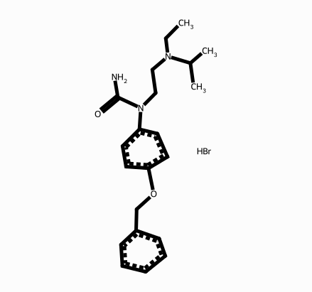 Br.CCN(CCN(C(N)=O)c1ccc(OCc2ccccc2)cc1)C(C)C